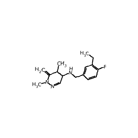 C=C1C(C)C(NCc2ccc(F)c(CC)c2)C=NN1C